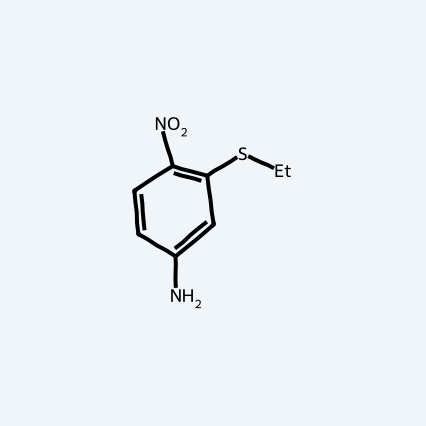 CCSc1cc(N)ccc1[N+](=O)[O-]